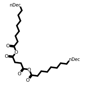 CCCCCCCCCCCCCCCCCC(=O)OC(=O)CCC(=O)OC(=O)CCCCCCCCCCCCCCCCC